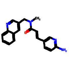 CN(Cc1cnc2ccccc2c1)C(=O)/C=C/c1ccc(N)nc1